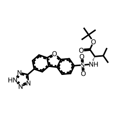 CC(C)[C@H](NS(=O)(=O)c1ccc2c(c1)oc1ccc(-c3nn[nH]n3)cc12)C(=O)OC(C)(C)C